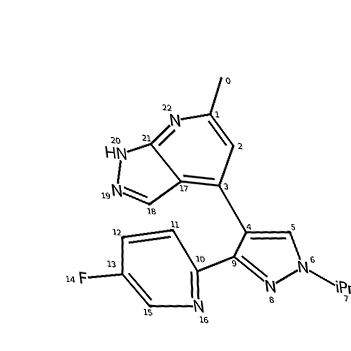 Cc1cc(-c2cn(C(C)C)nc2-c2ccc(F)cn2)c2cn[nH]c2n1